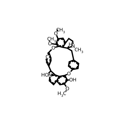 COc1cc2ccnc3c2c(c1O)Oc1ccc(cc1)C[C@@H]1c2c(cc(OC)c(OC)c2Oc2ccc(cc2)C3O)CCN1C